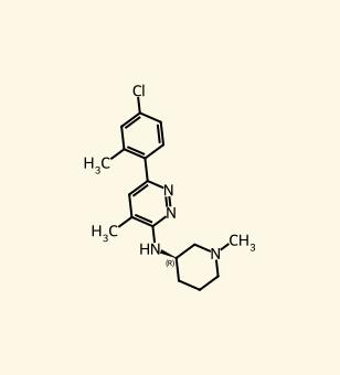 Cc1cc(Cl)ccc1-c1cc(C)c(N[C@@H]2CCCN(C)C2)nn1